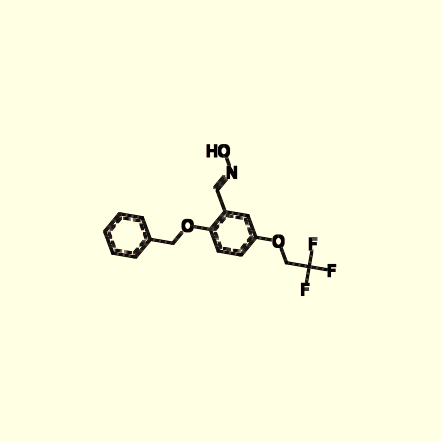 O/N=C/c1cc(OCC(F)(F)F)ccc1OCc1ccccc1